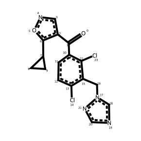 O=C(c1cnoc1C1CC1)c1ccc(Cl)c(Cn2cncn2)c1Cl